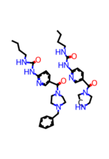 CCCCNC(=O)Nc1ccc(C(=O)N2CCN(Cc3ccccc3)CC2)cn1.CCCCNC(=O)Nc1ccc(C(=O)N2CCNCC2)cn1